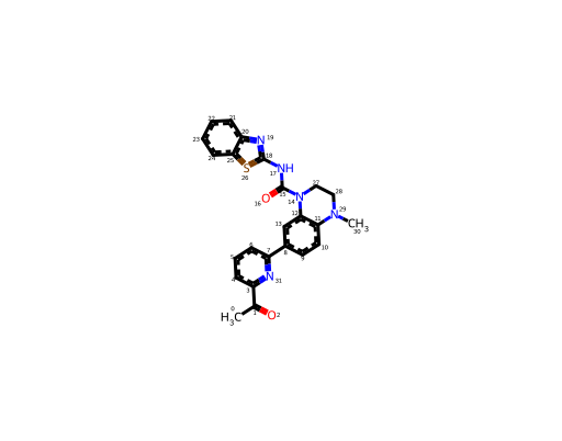 CC(=O)c1cccc(-c2ccc3c(c2)N(C(=O)Nc2nc4ccccc4s2)CCN3C)n1